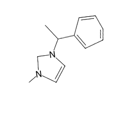 CC(c1ccccc1)N1C=CN(C)C1